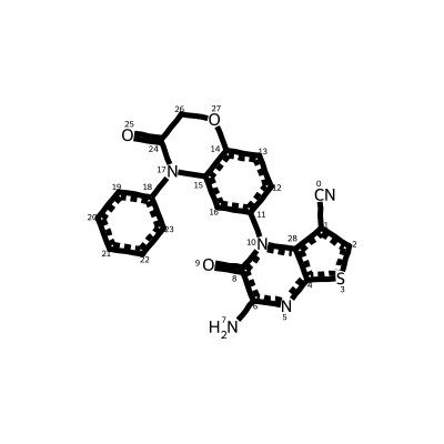 N#Cc1csc2nc(N)c(=O)n(-c3ccc4c(c3)N(c3ccccc3)C(=O)CO4)c12